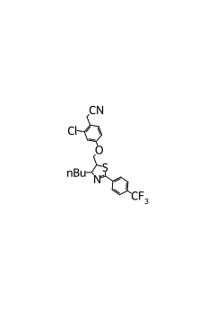 CCCCC1N=C(c2ccc(C(F)(F)F)cc2)SC1COc1ccc(CC#N)c(Cl)c1